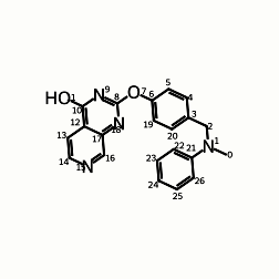 CN(Cc1ccc(Oc2nc(O)c3ccncc3n2)cc1)c1ccccc1